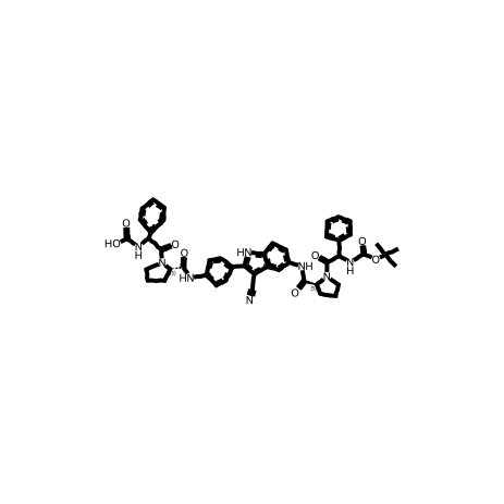 CC(C)(C)OC(=O)NC(C(=O)N1CCC[C@H]1C(=O)Nc1ccc2[nH]c(-c3ccc(NC(=O)[C@@H]4CCCN4C(=O)C(NC(=O)O)c4ccccc4)cc3)c(C#N)c2c1)c1ccccc1